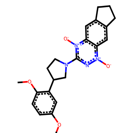 COc1ccc(OC)c(C2CCN(c3n[n+]([O-])c4cc5c(cc4[n+]3[O-])CCC5)C2)c1